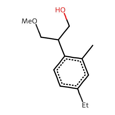 CCc1ccc(C(CO)COC)c(C)c1